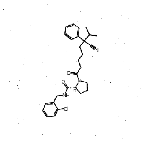 CC(C)C(C#N)(CCCCC(=O)N1CCC[C@@H]1C(=O)NCc1ccccc1Cl)c1ccccc1